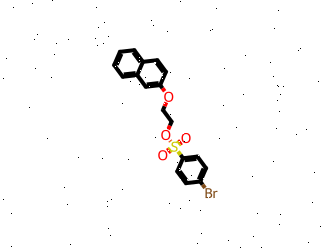 O=S(=O)(OCCOc1ccc2ccccc2c1)c1ccc(Br)cc1